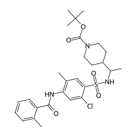 Cc1cc(S(=O)(=O)NC(C)C2CCN(C(=O)OC(C)(C)C)CC2)c(Cl)cc1NC(=O)c1ccccc1C